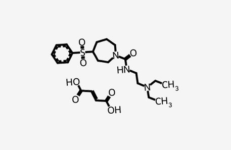 CCN(CC)CCNC(=O)N1CCCC(S(=O)(=O)c2ccccc2)CC1.O=C(O)/C=C/C(=O)O